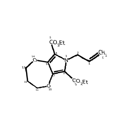 C=CCn1c(C(=O)OCC)c2c(c1C(=O)OCC)OCCCO2